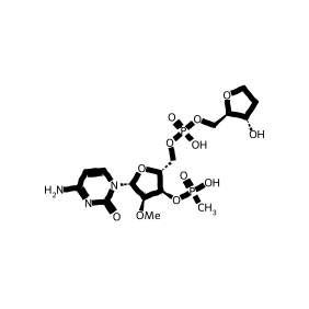 CO[C@@H]1[C@H](OP(C)(=O)O)[C@@H](COP(=O)(O)OC[C@H]2OCC[C@@H]2O)O[C@H]1n1ccc(N)nc1=O